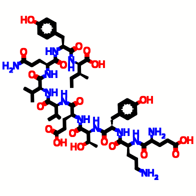 CC[C@H](C)[C@H](NC(=O)[C@H](Cc1ccc(O)cc1)NC(=O)[C@H](CCC(N)=O)NC(=O)[C@@H](NC(=O)[C@@H](NC(=O)[C@H](CCC(=O)O)NC(=O)[C@@H](NC(=O)[C@H](Cc1ccc(O)cc1)NC(=O)[C@H](CCCN)NC(=O)[C@@H](N)CCC(=O)O)[C@@H](C)O)C(C)C)C(C)C)C(=O)O